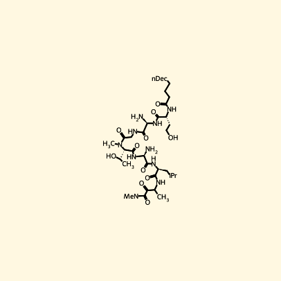 CCCCCCCCCCCCCC(=O)N[C@H](CCO)C(=O)N[C@H](N)C(=O)NCC(=O)N(C)[C@H](C(=O)N[C@@H](N)C(=O)N[C@@H](CC(C)C)C(=O)NC(C)C(=O)C(=O)NC)C(C)O